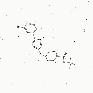 CC(C)(C)OC(=O)N1CCC(Oc2ccc(-c3cncc(Br)c3)cc2)CC1